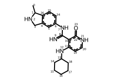 CC1NCc2cc(NC(=N)c3c(NC4CCCCC4)cc[nH]c3=O)ccc21